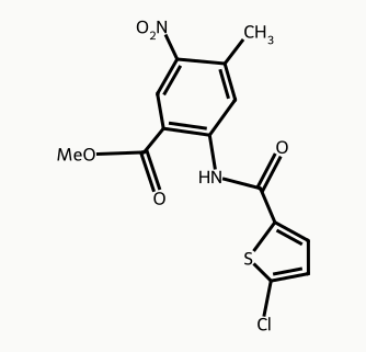 COC(=O)c1cc([N+](=O)[O-])c(C)cc1NC(=O)c1ccc(Cl)s1